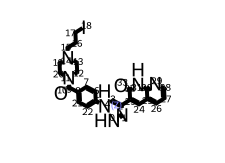 N=N/C(=C\Nc1ccc(C(=O)N2CCN(CCCI)CC2)cc1)c1cc2cccnc2[nH]c1=O